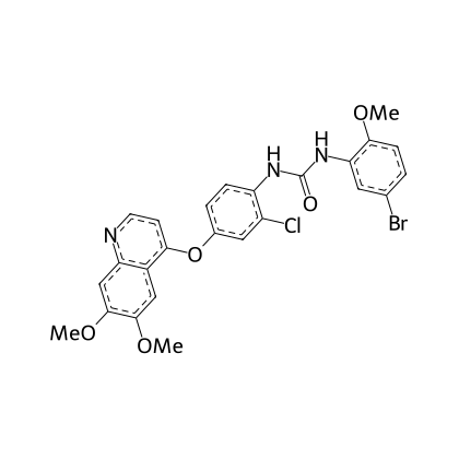 COc1ccc(Br)cc1NC(=O)Nc1ccc(Oc2ccnc3cc(OC)c(OC)cc23)cc1Cl